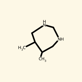 CC1CNCNCC1C